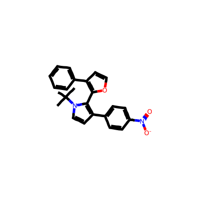 CC(C)(C)n1ccc(-c2ccc([N+](=O)[O-])cc2)c1-c1occc1-c1ccccc1